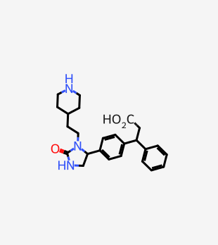 O=C(O)CC(c1ccccc1)c1ccc(C2CNC(=O)N2CCC2CCNCC2)cc1